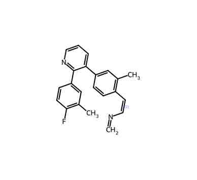 C=N/C=C\c1ccc(-c2cccnc2-c2ccc(F)c(C)c2)cc1C